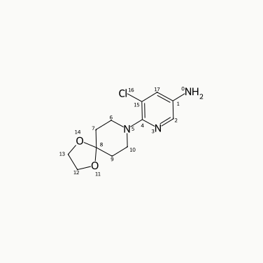 Nc1cnc(N2CCC3(CC2)OCCO3)c(Cl)c1